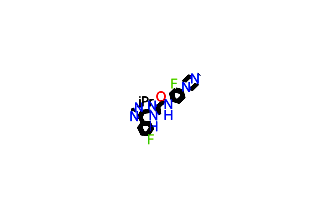 CC(C)n1cnc(-c2ccc(F)cc2)c1-c1nc(C(=O)Nc2ccc(N3CCN(C)CC3)c(F)c2)c[nH]1